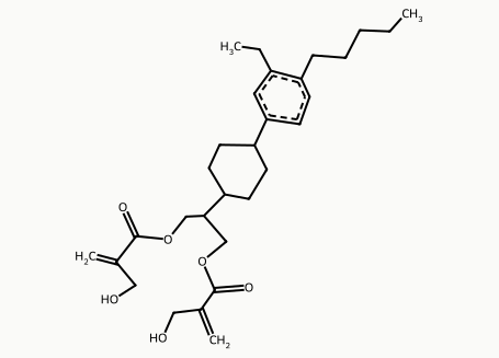 C=C(CO)C(=O)OCC(COC(=O)C(=C)CO)C1CCC(c2ccc(CCCCC)c(CC)c2)CC1